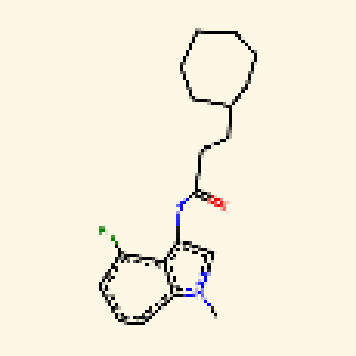 Cn1cc(NC(=O)CCC2CCCCCC2)c2c(Br)cccc21